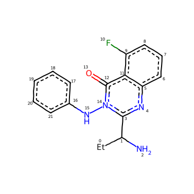 CCC(N)c1nc2cccc(F)c2c(=O)n1Nc1ccccc1